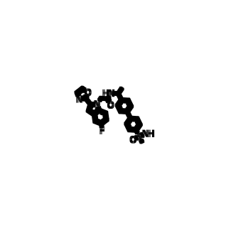 CC(NC(=O)Cn1c(-c2ncco2)cc2cc(F)ccc21)c1ccc(-c2ccc(S(C)(=N)=O)cc2)cc1